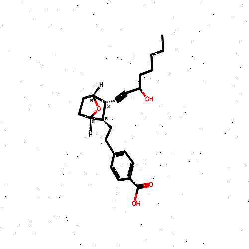 CCCCCC(O)C#C[C@@H]1[C@@H](CCc2ccc(C(=O)O)cc2)[C@@H]2CC[C@H]1O2